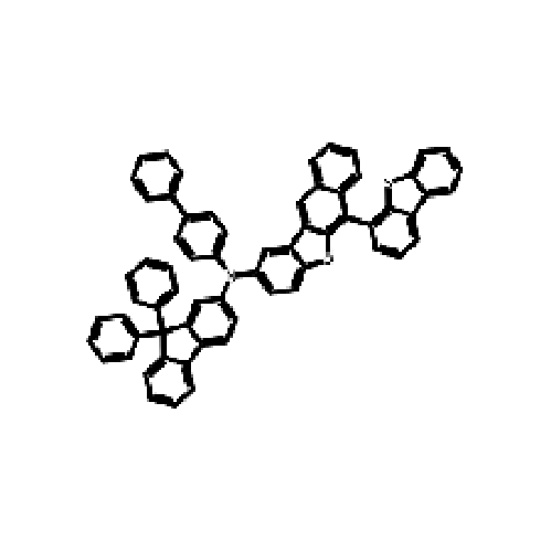 c1ccc(-c2ccc(N(c3ccc4c(c3)C(c3ccccc3)(c3ccccc3)c3ccccc3-4)c3ccc4oc5c(-c6cccc7c6sc6ccccc67)c6ccccc6cc5c4c3)cc2)cc1